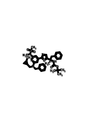 CC1CC1CN(Cc1ccccc1)c1cc(-c2ncc([C@@](C)(Cc3ccccc3)NC(=O)OC(C)(C)C)o2)cc(N(C)S(C)(=O)=O)n1